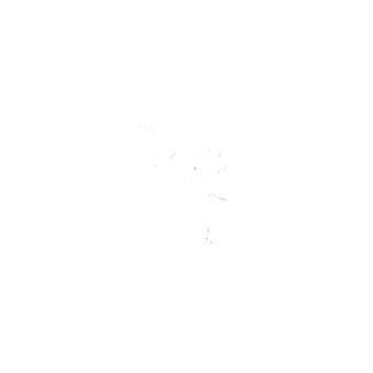 N#CCC(=O)c1cccc(C(=O)CC#N)c1